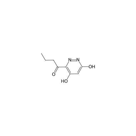 CCCC(=O)c1nnc(O)cc1O